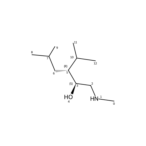 CNC[C@@H](O)[C@H](CC(C)C)C(C)C